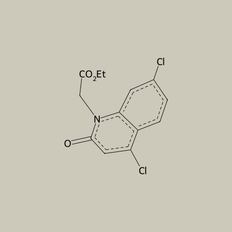 CCOC(=O)Cn1c(=O)cc(Cl)c2ccc(Cl)cc21